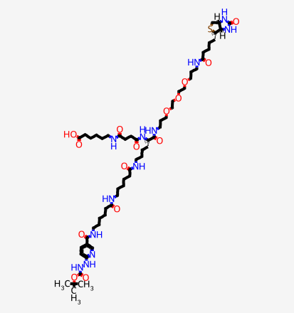 CC(C)(C)OC(=O)NNc1ccc(C(=O)NCCCCCC(=O)NCCCCCC(=O)NCCCC[C@H](NC(=O)CCC(=O)NCCCCCC(=O)O)C(=O)NCCCOCCOCCOCCCNC(=O)CCCC[C@@H]2SC[C@@H]3NC(=O)N[C@@H]32)cn1